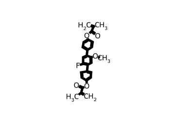 C=C(C)C(=O)Oc1ccc(-c2cc(OC)c(-c3ccc(OC(=O)C(=C)C)cc3)cc2F)cc1